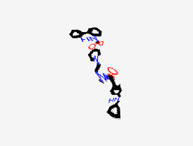 CN(CCN1CCC(OC(=O)Nc2ccccc2-c2ccccc2)CC1)C(=O)c1ccc(CNCc2ccccc2)cc1